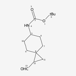 CC(C)(C)OC(=O)NC1CCC2(CC1)CC2C=O